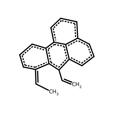 C=Cc1c2cccc3cccc(c4ccc/c(=C/C)c14)c32